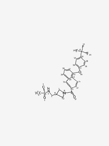 CS(=O)(=O)NCC1CN(C(=O)c2ccc3c(Oc4ccc(C(F)(F)F)cc4)cccc3c2)C1